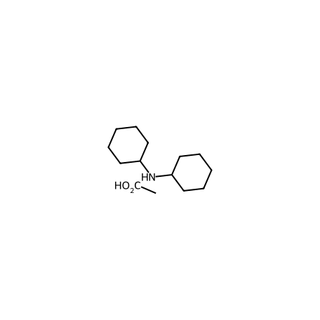 C1CCC(NC2CCCCC2)CC1.CC(=O)O